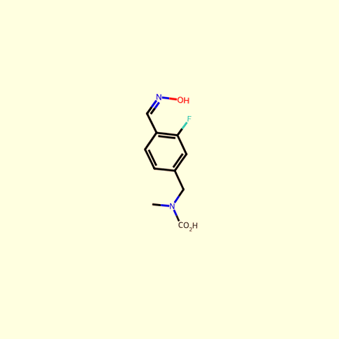 CN(Cc1ccc(/C=N\O)c(F)c1)C(=O)O